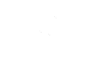 Cl.c1ccc(-c2noc([C@H]3CCCNC3)n2)cc1